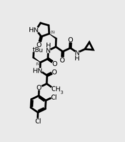 CC(Oc1ccc(Cl)cc1Cl)C(=O)N[C@@H](CC(C)(C)C)C(=O)NC(C[C@@H]1CCNC1=O)C(=O)C(=O)NC1CC1